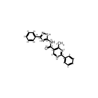 Cc1nc(-c2ccccc2)ncc1C(=O)Nc1nc(-c2ccccc2)ns1